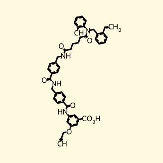 C#CCOc1cc(NC(=O)c2ccc(CNC(=O)c3ccc(CNC(=O)CCCCC(=O)N(Cc4ccccc4C=C)c4ccccc4C)cc3)cc2)cc(C(=O)O)c1